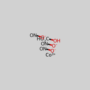 O=C(O)O.O=N[O-].O=N[O-].O=N[O-].[Co+3]